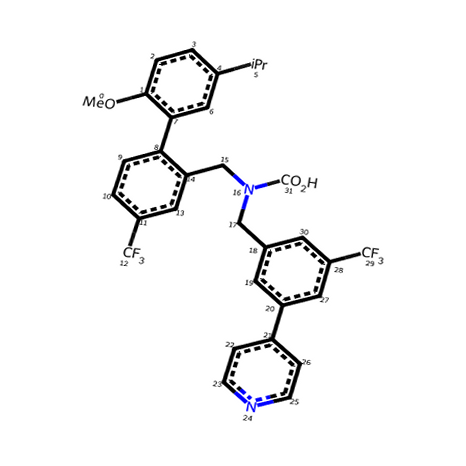 COc1ccc(C(C)C)cc1-c1ccc(C(F)(F)F)cc1CN(Cc1cc(-c2ccncc2)cc(C(F)(F)F)c1)C(=O)O